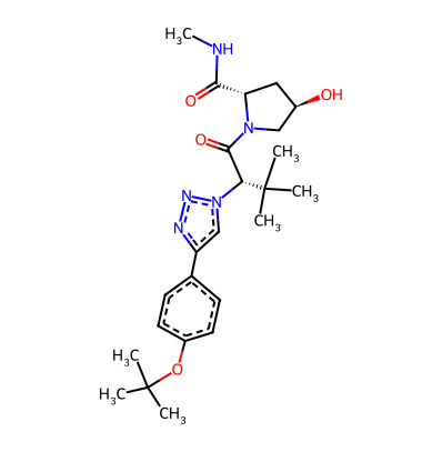 CNC(=O)[C@@H]1C[C@@H](O)CN1C(=O)[C@@H](n1cc(-c2ccc(OC(C)(C)C)cc2)nn1)C(C)(C)C